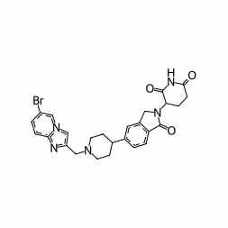 O=C1CCC(N2Cc3cc(C4CCN(Cc5cn6cc(Br)ccc6n5)CC4)ccc3C2=O)C(=O)N1